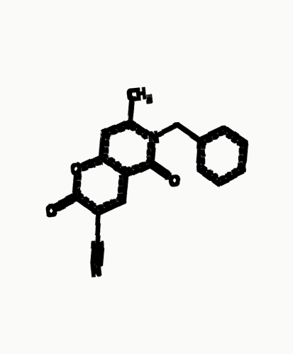 Cc1cc2oc(=O)c(C#N)cc2c(=O)n1Cc1ccccc1